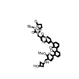 COc1nc(-c2cccc(-c3cccc(-c4ccn5c(=O)c(CN(C[C@@H]6CCC(=O)N6)C(=O)OC(C)(C)C)cnc5c4)c3Cl)c2Cl)ccc1CNC1CC(O)C1